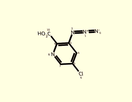 [N-]=[N+]=Nc1cc(Cl)cnc1C(=O)O